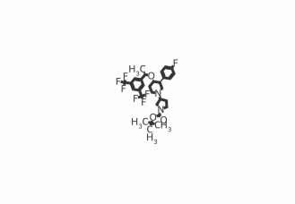 C[C@@H](O[C@H]1CCN(C2CCN(C(=O)OC(C)(C)C)C2)C[C@@H]1c1ccc(F)cc1)c1cc(C(F)(F)F)cc(C(F)(F)F)c1